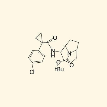 CC(C)(C)OC(=O)N1C2CCCC(NC(=O)C3(c4ccc(Cl)cc4)CC3)C1CC2